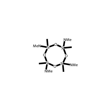 CN[Si]1(C)O[Si](C)(NC)O[Si](C)(NC)O[Si](C)(NC)O1